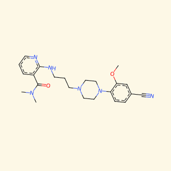 COc1cc(C#N)ccc1N1CCN(CCCNc2ncccc2C(=O)N(C)C)CC1